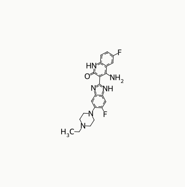 CCN1CCN(c2cc3nc(-c4c(N)c5cc(F)ccc5[nH]c4=O)[nH]c3cc2F)CC1